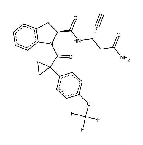 C#C[C@H](CC(N)=O)NC(=O)[C@@H]1Cc2ccccc2N1C(=O)C1(c2ccc(OC(F)(F)F)cc2)CC1